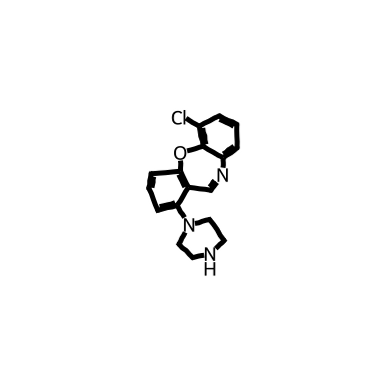 Clc1cccc2c1Oc1cccc(N3CCNCC3)c1C=N2